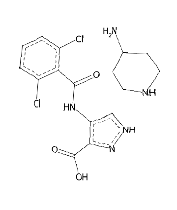 NC1CCNCC1.O=C(O)c1n[nH]cc1NC(=O)c1c(Cl)cccc1Cl